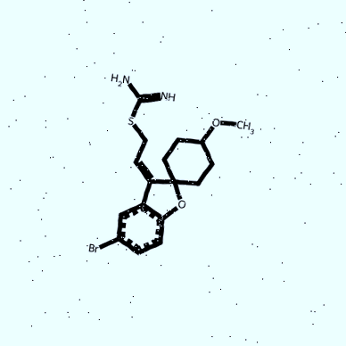 COC1CCC2(CC1)Oc1ccc(Br)cc1/C2=C/CSC(=N)N